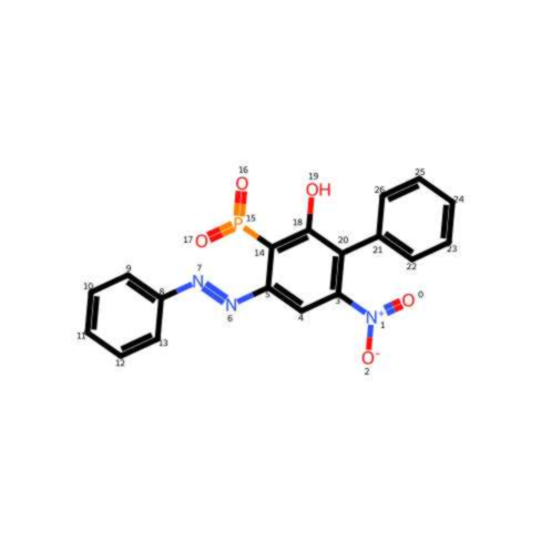 O=[N+]([O-])c1cc(N=Nc2ccccc2)c(P(=O)=O)c(O)c1-c1ccccc1